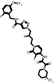 O=C(Nc1ccn(CCC(F)Cn2cc(C(=O)NCc3cc(OC(F)(F)F)ccc3F)nn2)c(=O)c1F)C(=O)N1CCC[C@H](C(F)(F)F)C1